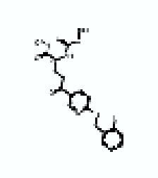 COC(=O)[C@H](CCC(=O)c1ccc(OCc2ccccc2F)nc1)NC(=O)OC(C)(C)C